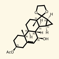 CC(=O)O[C@H]1CC[C@@]2(C)C(=C[C@H](O)[C@H]3[C@@H]4[C@@H]5C[C@@H]5C5(OCCO5)[C@@]4(C)CC[C@@H]32)C1